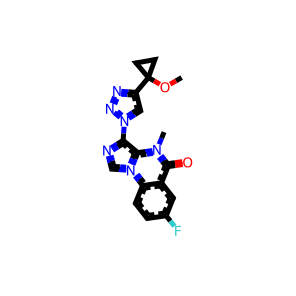 COC1(c2cn(-c3ncn4c5ccc(F)cc5c(=O)n(C)c34)nn2)CC1